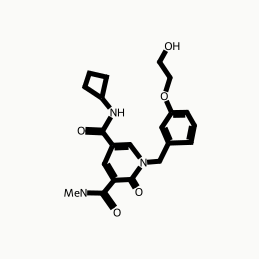 CNC(=O)c1cc(C(=O)NC2CCC2)cn(Cc2cccc(OCCO)c2)c1=O